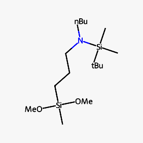 CCCCN(CCC[Si](C)(OC)OC)[Si](C)(C)C(C)(C)C